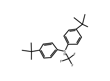 CC(C)(C)c1ccc([SH](c2ccc(C(C)(C)C)cc2)C(F)(F)F)cc1